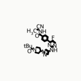 C[C@@H](C#N)NC(=O)c1ccc(-c2nc(Nc3cnn(C4CCN(C(=O)C(C)(C)C)CC4)c3)ncc2F)cc1